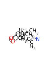 CC(C)C(C#N)CC[C@@H](C)[C@H]1CC[C@H]2[C@@H]3CCC4=CC5(CC[C@]4(C)[C@H]3CC[C@]12C)OCCO5